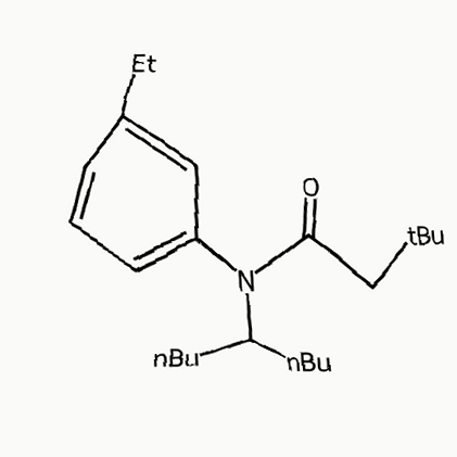 CCCCC(CCCC)N(C(=O)CC(C)(C)C)c1cccc(CC)c1